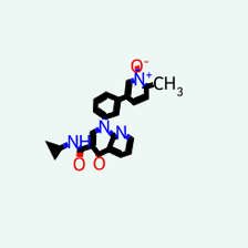 Cc1ccc(-c2cccc(-n3cc(C(=O)NC4CC4)c(=O)c4cccnc43)c2)c[n+]1[O-]